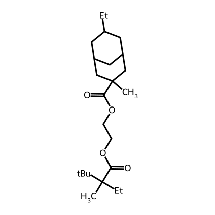 CCC1CC2CC(C1)CC(C)(C(=O)OCCOC(=O)C(C)(CC)C(C)(C)C)C2